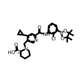 CC1(C)OB(c2cccc(NC(=O)c3cc(C4CC4)c(CN4CCCC[C@H]4C(=O)O)cn3)c2Cl)OC1(C)C